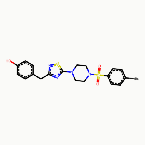 CC(C)(C)c1ccc(S(=O)(=O)N2CCN(c3nc(Cc4ccc(O)cc4)ns3)CC2)cc1